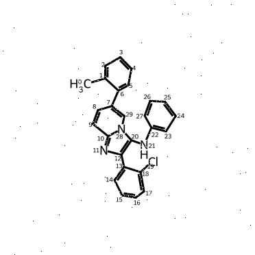 Cc1ccccc1-c1ccc2nc(-c3ccccc3Cl)c(Nc3ccccc3)n2c1